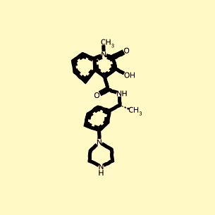 C[C@@H](NC(=O)c1c(O)c(=O)n(C)c2ccccc12)c1cccc(N2CCNCC2)c1